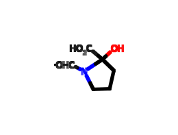 O=[C]N1CCCC1(O)C(=O)O